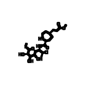 COC(=O)CC[C@@H]1CCN[C@H](C(=O)N[C@H]([C@H](C)Cl)[C@H]2OC(SC)[C@H](O)C(O)C2O)CC1